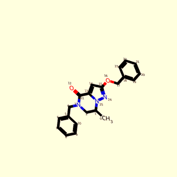 CC1CN(Cc2ccccc2)C(=O)c2cc(OCc3ccccc3)nn21